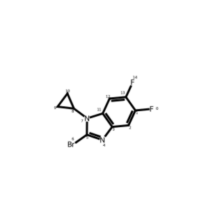 Fc1cc2nc(Br)n(C3CC3)c2cc1F